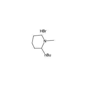 Br.CCCCC1CCCCN1C